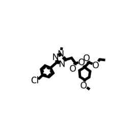 CCOC(=O)C1(OC(=O)Cc2nc(-c3ccc(Cl)cc3)nn2C)CCC(OC)CC1